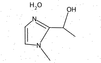 CC(O)c1nccn1C.O